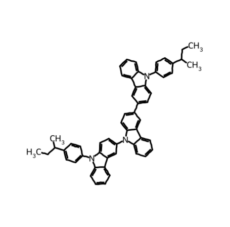 CCC(C)c1ccc(-n2c3ccccc3c3cc(-c4ccc5c(c4)c4ccccc4n5-c4ccc5c(c4)c4ccccc4n5-c4ccc(C(C)CC)cc4)ccc32)cc1